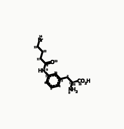 N[C@@H](Cc1cccc(NC(=O)CCCBr)c1)C(=O)O